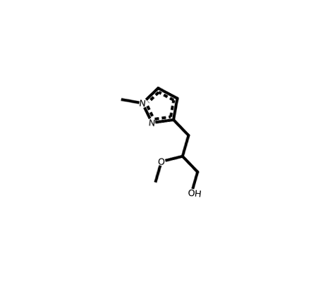 COC(CO)Cc1ccn(C)n1